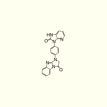 O=C1CN(c2ccc(-n3c(=O)[nH]c4cccnc43)cc2)c2nc3ccccc3n21